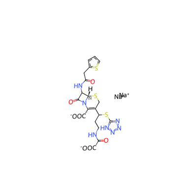 O=C(Cc1cccs1)NC1C(=O)N2C(C(=O)[O-])=C(C(CCNC(=O)C(=O)[O-])Sc3nnn[nH]3)CS[C@@H]12.[Na+].[Na+]